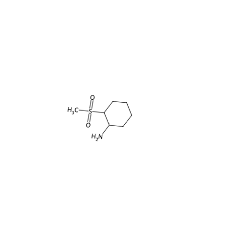 CS(=O)(=O)C1CCCC[C]1N